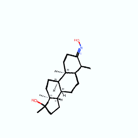 CC1/C(=N/O)CC[C@@]2(C)C1CC[C@@H]1[C@H]2CC[C@@]2(C)[C@H]1CCC2(C)O